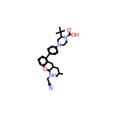 CC(C)CC(Cc1ccccc1-c1ccc(N2CCN(C(=O)O)C(C(C)(C)C)C2)cc1)C(=O)NCC#N